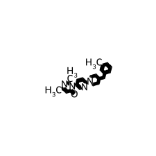 Cc1cccc(CC2CCN(c3ccc(-n4c(C)nc(C)cc4=O)cn3)CC2)c1